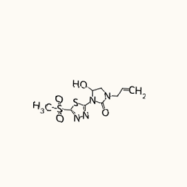 C=CCN1CC(O)N(c2nnc(S(C)(=O)=O)s2)C1=O